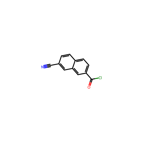 N#Cc1ccc2ccc(C(=O)Cl)cc2c1